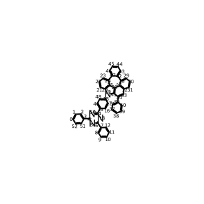 c1ccc(-c2nc(-c3ccccc3)nc(-c3ccc(-n4c5cccc6c5c5c7c(cccc7cc(-c7ccccc7)c54)-c4ccccc4-6)cc3)n2)cc1